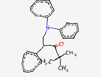 CC(C)(C)C(=O)C(CN(c1ccccc1)c1ccccc1)c1ccccc1